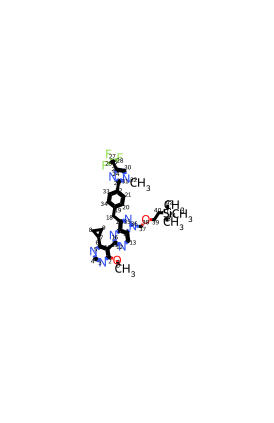 COc1ncnc(C2CC2)c1-c1ncc2c(n1)c(Cc1ccc(-c3nc(C(F)(F)F)cn3C)cc1)nn2COCC[Si](C)(C)C